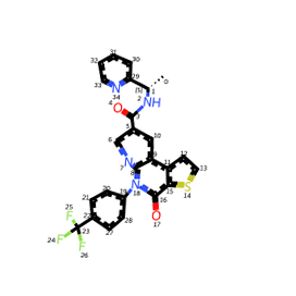 C[C@H](NC(=O)c1cnc2c(c1)c1ccsc1c(=O)n2-c1ccc(C(F)(F)F)cc1)c1ccccn1